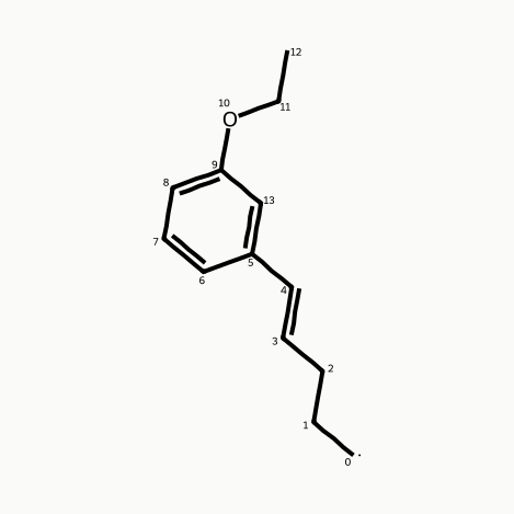 [CH2]CCC=Cc1cccc(OCC)c1